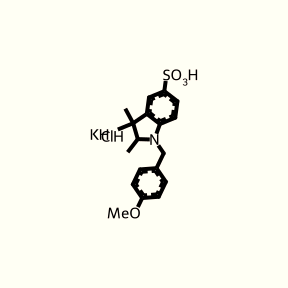 COc1ccc(CN2c3ccc(S(=O)(=O)O)cc3C(C)(C)C2C)cc1.Cl.[KH]